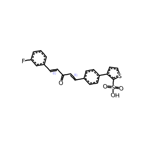 O=C(/C=C/c1ccc(-c2ccsc2S(=O)(=O)O)cc1)/C=C/c1cccc(F)c1